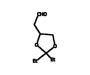 CCC1(CC)OCC(CC=O)O1